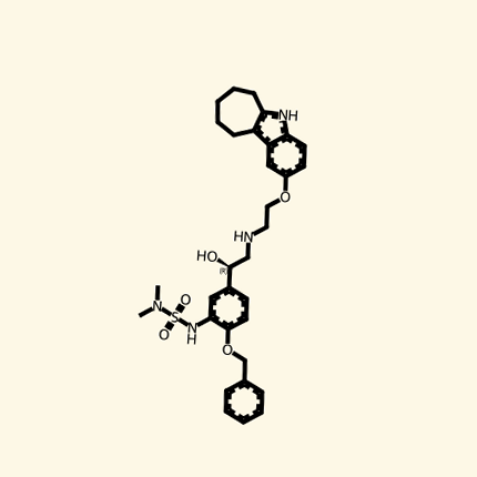 CN(C)S(=O)(=O)Nc1cc([C@@H](O)CNCCOc2ccc3[nH]c4c(c3c2)CCCCC4)ccc1OCc1ccccc1